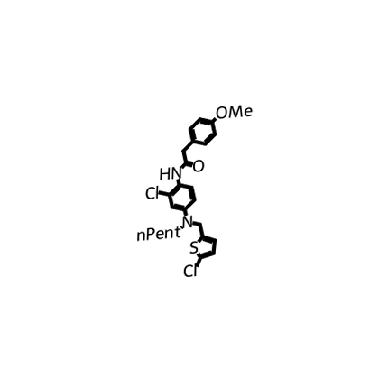 CCCCCN(Cc1ccc(Cl)s1)c1ccc(NC(=O)Cc2ccc(OC)cc2)c(Cl)c1